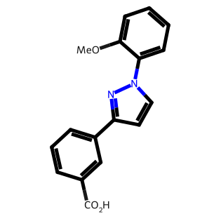 COc1ccccc1-n1ccc(-c2cccc(C(=O)O)c2)n1